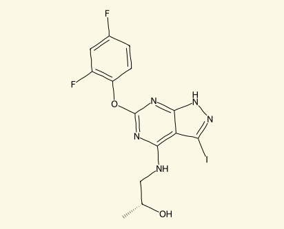 C[C@@H](O)CNc1nc(Oc2ccc(F)cc2F)nc2[nH]nc(I)c12